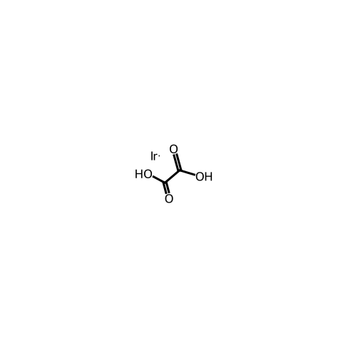 O=C(O)C(=O)O.[Ir]